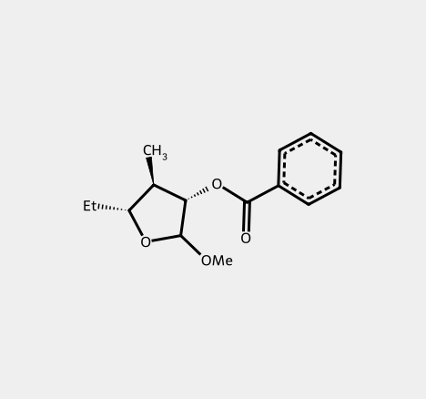 CC[C@H]1OC(OC)[C@@H](OC(=O)c2ccccc2)[C@@H]1C